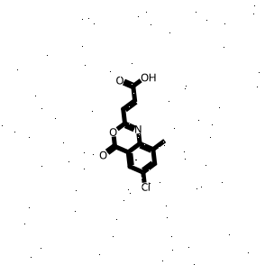 Cc1cc(Cl)cc2c(=O)oc(C=CC(=O)O)nc12